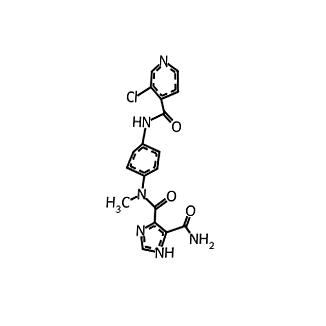 CN(C(=O)c1nc[nH]c1C(N)=O)c1ccc(NC(=O)c2ccncc2Cl)cc1